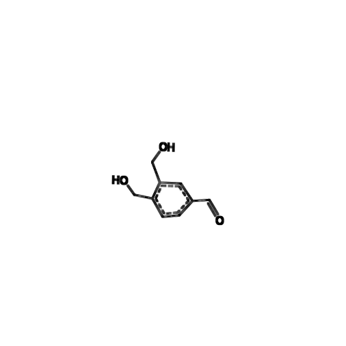 O=Cc1ccc(CO)c(CO)c1